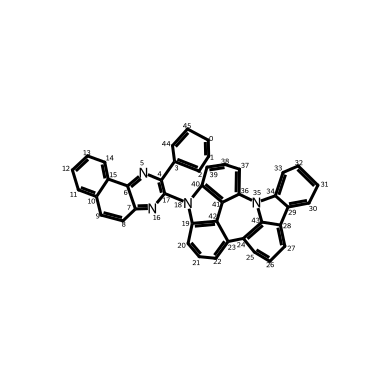 c1ccc(-c2nc3c(ccc4ccccc43)nc2-n2c3cccc4c5cccc6c7ccccc7n(c7cccc2c7c43)c56)cc1